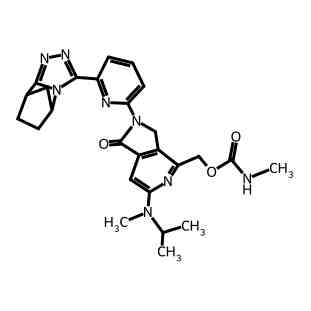 CNC(=O)OCc1nc(N(C)C(C)C)cc2c1CN(c1cccc(-c3nnc4n3C3CCC4C3)n1)C2=O